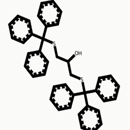 OC(CSC(c1ccccc1)(c1ccccc1)c1ccccc1)CSC(c1ccccc1)(c1ccccc1)c1ccccc1